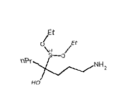 CCCC(O)(CCCN)[SiH](OCC)OCC